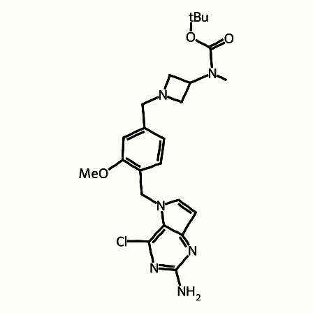 COc1cc(CN2CC(N(C)C(=O)OC(C)(C)C)C2)ccc1Cn1ccc2nc(N)nc(Cl)c21